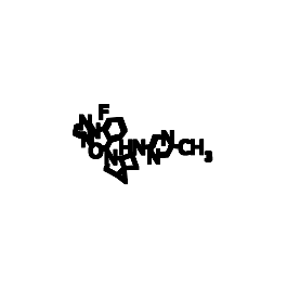 Cc1cnc(NC2CC34CC3CN(C(=O)c3cccc(F)c3-n3nccn3)C24)cn1